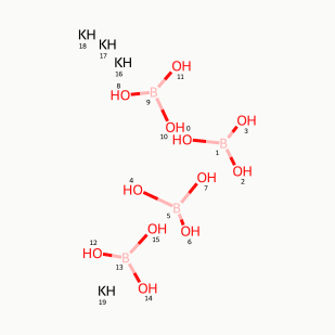 OB(O)O.OB(O)O.OB(O)O.OB(O)O.[KH].[KH].[KH].[KH]